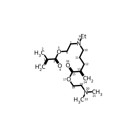 C=C(C)C(=O)OCCN(CC)CCCC(=C)C(=O)OCCN(C)C